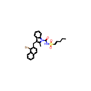 CCCC=CS(=O)(=O)NC(=O)n1c(C)c(Cc2ccc3ccccc3c2Br)c2ccccc21